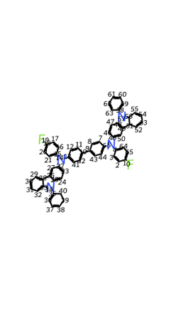 Fc1ccc(N(c2ccc(-c3ccc(N(c4ccc(F)cc4)c4ccc5c(c4)c4ccccc4n5C4=CC=CCC4)cc3)cc2)c2ccc3c(c2)C2C=CC=CC2N3c2ccccc2)cc1